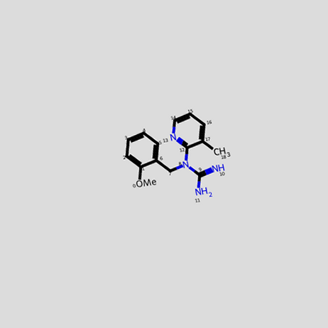 COc1ccccc1CN(C(=N)N)c1ncccc1C